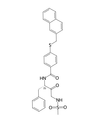 CS(=O)(=O)NCC(=O)[C@H](Cc1ccccc1)NC(=O)c1ccc(SCc2ccc3ccccc3c2)cc1